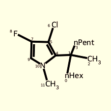 CCCCCCC(C)(CCCCC)c1c(Cl)c(F)cn1C